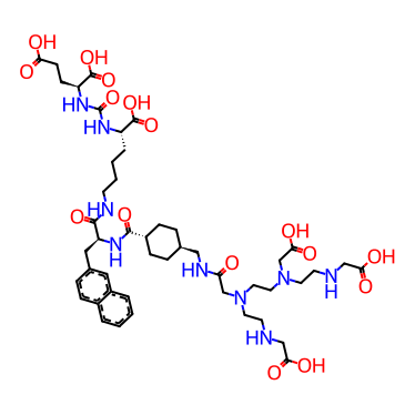 O=C(O)CC[C@H](NC(=O)N[C@@H](CCCCNC(=O)[C@H](Cc1ccc2ccccc2c1)NC(=O)[C@H]1CC[C@H](CNC(=O)CN(CCNCC(=O)O)CCN(CCNCC(=O)O)CC(=O)O)CC1)C(=O)O)C(=O)O